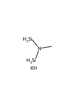 CN([SiH3])[SiH3].[KH]